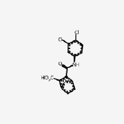 O=C(O)c1c(C(=O)Nc2ccc(Cl)c(Cl)c2)c2ccc1o2